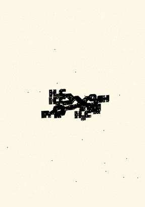 C=C/C=C(\C=C/C)Cc1c(C#Cc2ccc(C(C)C)nc2)sc2c1CO[C@@H](S)c1nnc(C)n1-2